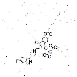 CCCCCCCCCC(=O)Oc1ccc2c(c1)C(=O)N(CCN1CCC(c3noc4cc(F)ccc34)CC1)C2=O.O=C(O)/C=C/C(=O)O